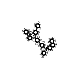 c1ccc(-c2ccc(N(c3ccc(-c4ccc(N(c5ccccc5)c5ccc6ccc7ccccc7c6c5)cc4)cc3)c3cccc4c3oc3ccccc34)cc2)cc1